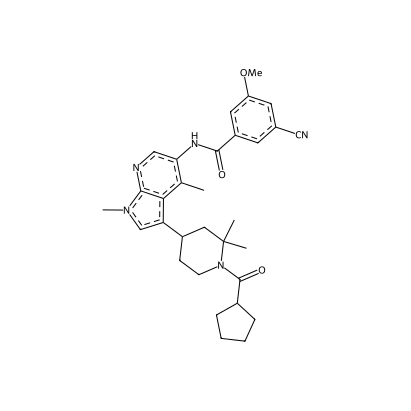 COc1cc(C#N)cc(C(=O)Nc2cnc3c(c(C4CCN(C(=O)C5CCCC5)C(C)(C)C4)cn3C)c2C)c1